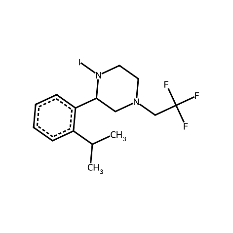 CC(C)c1ccccc1C1CN(CC(F)(F)F)CCN1I